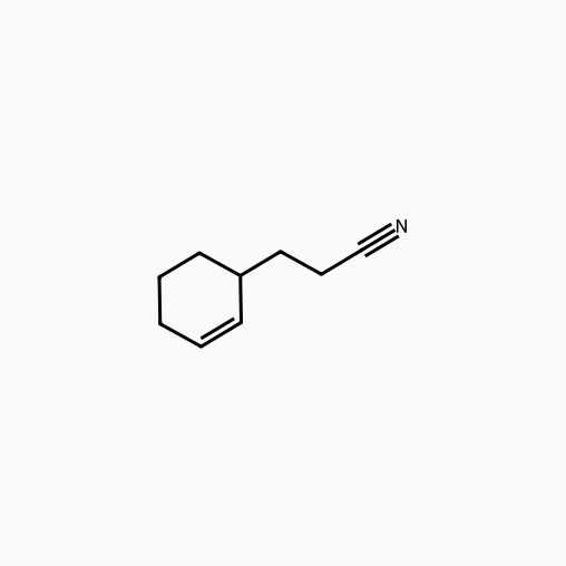 N#CCCC1C=CCCC1